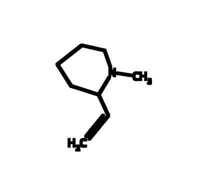 C=CC1CCCCN1C